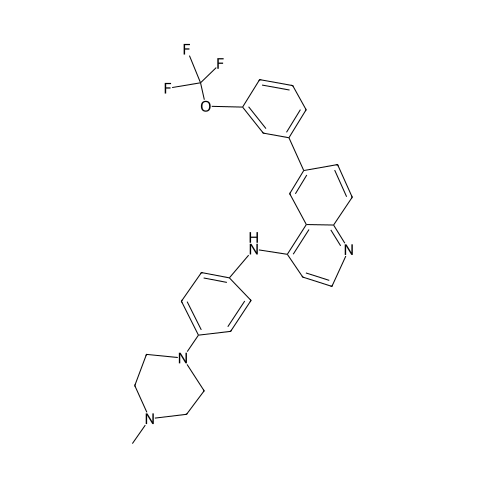 CN1CCN(c2ccc(Nc3ccnc4ccc(-c5cccc(OC(F)(F)F)c5)cc34)cc2)CC1